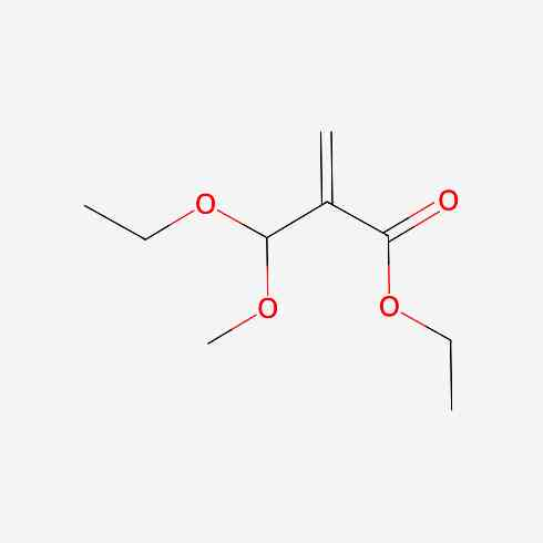 C=C(C(=O)OCC)C(OC)OCC